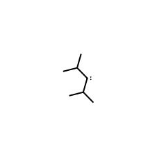 CC(C)[C]C(C)C